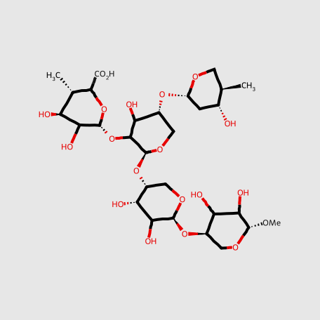 CO[C@@H]1OC[C@@H](O[C@@H]2OC[C@@H](O[C@@H]3OC[C@@H](O[C@H]4C[C@@H](O)[C@H](C)CO4)C(O)C3O[C@H]3OC(C(=O)O)[C@@H](C)[C@H](O)C3O)[C@@H](O)C2O)C(O)C1O